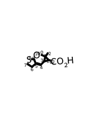 CC1(C)C(/C=C2/CCSC2=O)C1C(=O)O